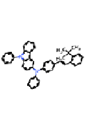 CC(C)(C)c1ccccc1/C=C/c1ccc(N(c2ccccc2)c2ccc3c(c2)c2ccccc2n3-c2ccccc2)cc1